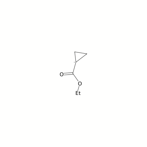 CCOC(=O)[C]1CC1